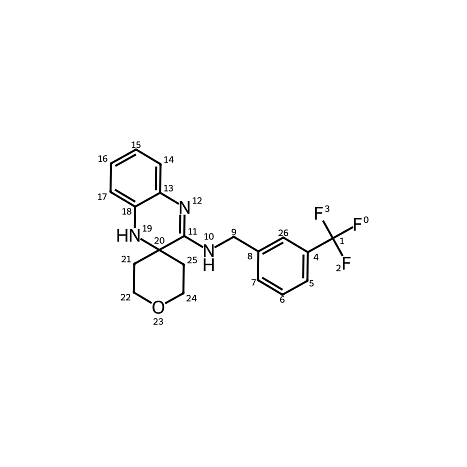 FC(F)(F)c1cccc(CNC2=Nc3ccccc3NC23CCOCC3)c1